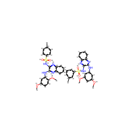 COc1cc(Nc2nc3ccccc3nc2NS(=O)(=O)c2cccc(C)c2)cc(OC)c1.COc1ccc(OC)c(Nc2nc3ccccc3nc2NS(=O)(=O)c2ccc(C)cc2)c1